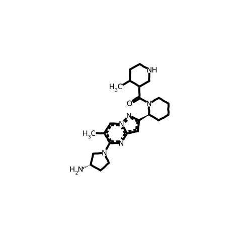 Cc1cn2nc([C@@H]3CCCCN3C(=O)C3CNCCC3C)cc2nc1N1CC[C@H](N)C1